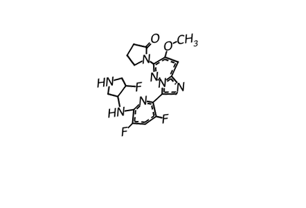 COc1cc2ncc(-c3nc(NC4CNCC4F)c(F)cc3F)n2nc1N1CCCC1=O